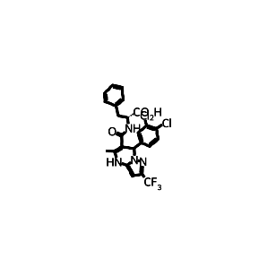 CC1=C(C(=O)N[C@H](Cc2ccccc2)C(=O)O)C(c2ccc(Cl)c(Cl)c2)n2nc(C(F)(F)F)cc2N1